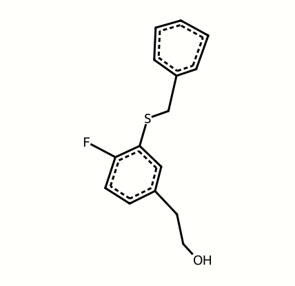 OCCc1ccc(F)c(SCc2ccccc2)c1